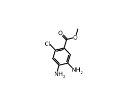 COC(=O)c1cc(N)c(N)cc1Cl